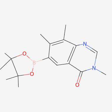 Cc1c(B2OC(C)(C)C(C)(C)O2)cc2c(=O)n(C)cnc2c1C